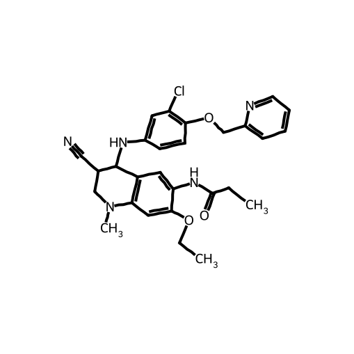 CCOc1cc2c(cc1NC(=O)CC)C(Nc1ccc(OCc3ccccn3)c(Cl)c1)C(C#N)CN2C